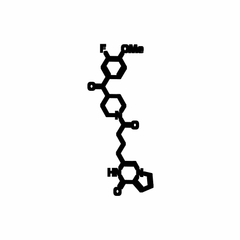 COc1ccc(C(=O)C2CCN(C(=O)CCCc3cn4cccc4c(=O)[nH]3)CC2)cc1F